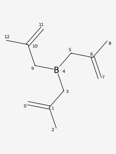 C=C(C)CB(CC(=C)C)CC(=C)C